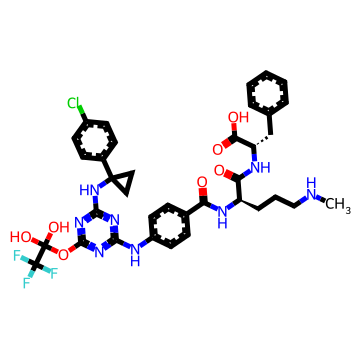 CNCCC[C@@H](NC(=O)c1ccc(Nc2nc(NC3(c4ccc(Cl)cc4)CC3)nc(OC(O)(O)C(F)(F)F)n2)cc1)C(=O)N[C@@H](Cc1ccccc1)C(=O)O